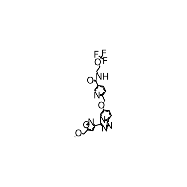 COCc1cc(-c2nnc3ccc(OCc4ccc(C(=O)NCCOC(F)(F)F)cn4)cn23)no1